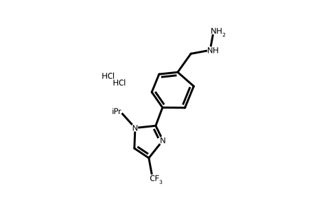 CC(C)n1cc(C(F)(F)F)nc1-c1ccc(CNN)cc1.Cl.Cl